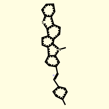 Cc1ccc(/C=C/c2ccc3c4ccc5c(ccc6c7ccccc7sc65)c4n(C)c3c2)cc1